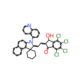 O=C1/C(=C\C=C2/N(c3cccc4ncccc34)c3ccc4ccccc4c3C23CCCCC3)C(O)c2c(Cl)c(Cl)c(Cl)c(Cl)c21